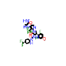 CNC(=O)C(C)Nc1ccnc(N2C[C@@H](c3c(F)cc(OC)cc3F)C(NC(=O)N[C@H]3CC[C@H](C(F)F)CC3)C2=O)c1C(F)(F)F